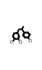 C[C](Cc1ccc(Cl)c(Cl)c1)c1ccc(Cl)cc1